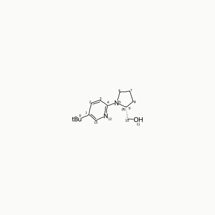 CC(C)(C)c1ccc(N2CCC[C@@H]2CO)nc1